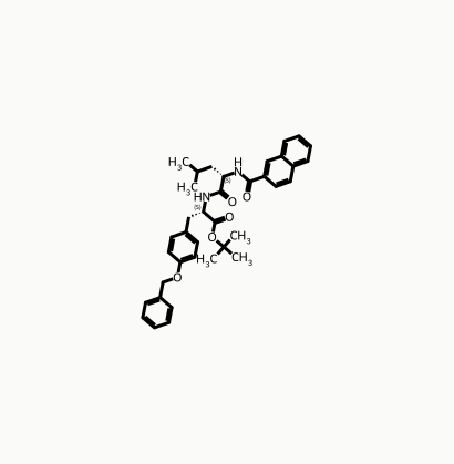 CC(C)C[C@H](NC(=O)c1ccc2ccccc2c1)C(=O)N[C@@H](Cc1ccc(OCc2ccccc2)cc1)C(=O)OC(C)(C)C